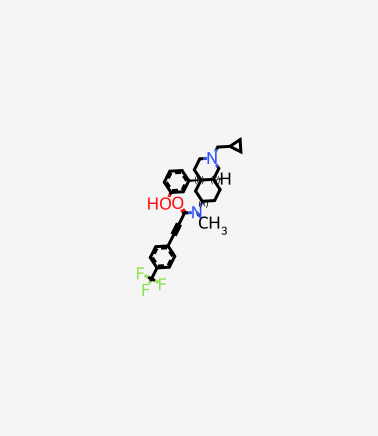 CN(C(=O)C#Cc1ccc(C(F)(F)F)cc1)[C@@H]1CC[C@@H]2CN(CC3CC3)CC[C@@]2(c2cccc(O)c2)C1